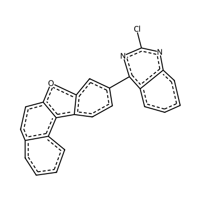 Clc1nc(-c2ccc3c(c2)oc2ccc4ccccc4c23)c2ccccc2n1